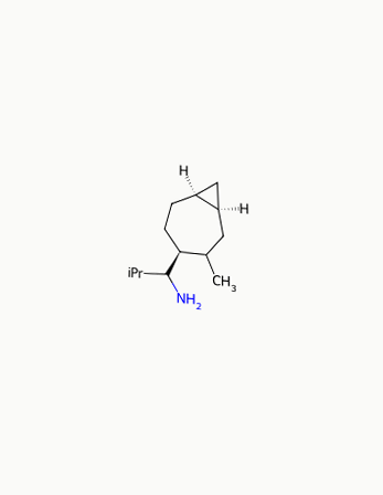 CC(C)C(N)[C@H]1CC[C@H]2C[C@H]2CC1C